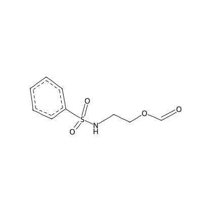 O=COCCNS(=O)(=O)c1ccccc1